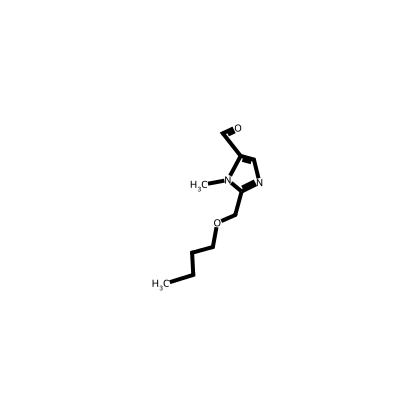 CCCCOCc1ncc(C=O)n1C